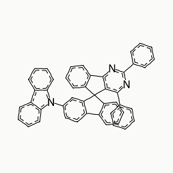 c1ccc(-c2nc(-c3ccccc3)c3c(n2)-c2ccccc2C32c3ccccc3-c3ccc(-n4c5ccccc5c5ccccc54)cc32)cc1